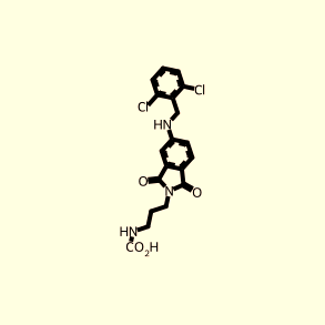 O=C(O)NCCCN1C(=O)c2ccc(NCc3c(Cl)cccc3Cl)cc2C1=O